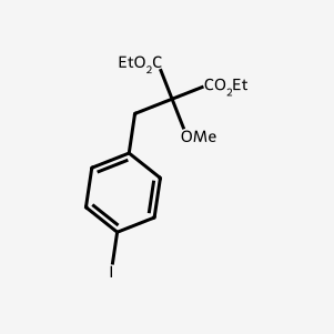 CCOC(=O)C(Cc1ccc(I)cc1)(OC)C(=O)OCC